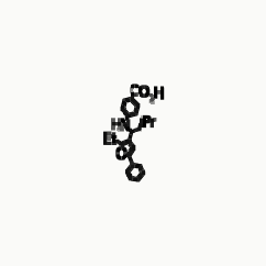 CCc1oc(-c2ccccc2)cc1C(CC(C)C)Nc1ccc(C(=O)O)cc1